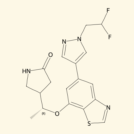 C[C@@H](Oc1cc(-c2cnn(CC(F)F)c2)cc2ncsc12)C1CNC(=O)C1